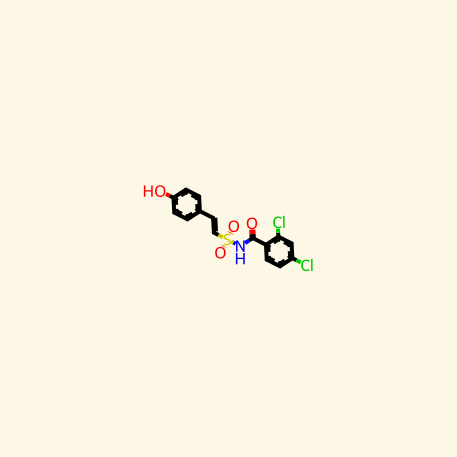 O=C(NS(=O)(=O)C=Cc1ccc(O)cc1)c1ccc(Cl)cc1Cl